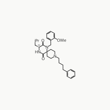 COc1ccccc1CN1C(=O)[C@H](CC(C)C)NC(=O)C12CCN(CCCCc1ccccc1)CC2